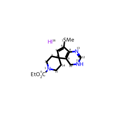 CCOC(=O)N1CCC2(C=C(SC)C3=C2CNC=N3)CC1.I